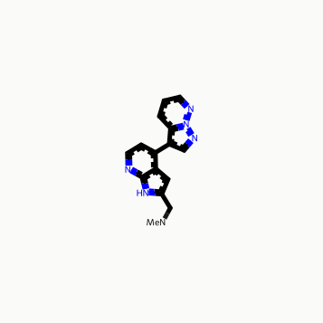 CNCc1cc2c(-c3cnn4ncccc34)ccnc2[nH]1